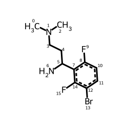 CN(C)CCC(N)c1c(F)ccc(Br)c1F